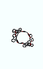 c1ccc2c(c1)-c1ccccc1C21c2ccc(cc2)-c2ccc(cc2)C2(c3ccccc3-c3ccccc32)c2cc(cc3c2[nH]c2ccccc23)C2(c3ccc(cc3)-c3ccc(cc3)C3(c4ccccc4-c4ccccc43)c3cc1cc1c3[nH]c3ccccc31)c1ccccc1-c1ccccc12